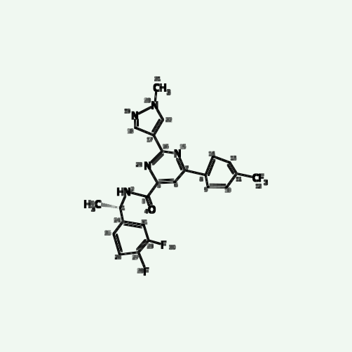 C[C@H](NC(=O)c1cc(-c2ccc(C(F)(F)F)cc2)nc(-c2cnn(C)c2)n1)c1ccc(F)c(F)c1